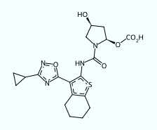 O=C(O)O[C@@H]1C[C@H](O)CN1C(=O)Nc1sc2c(c1-c1nc(C3CC3)no1)CCCC2